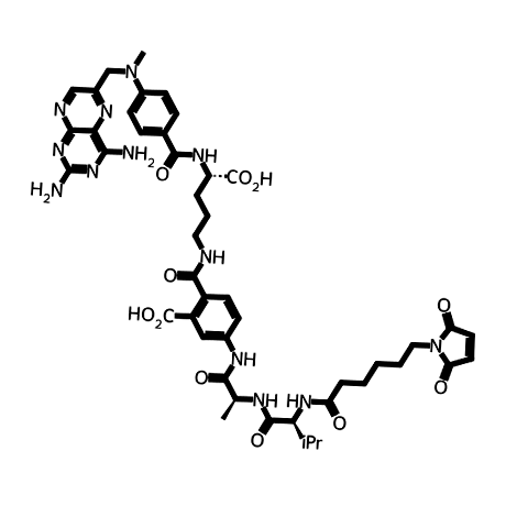 CC(C)[C@H](NC(=O)CCCCCN1C(=O)C=CC1=O)C(=O)N[C@@H](C)C(=O)Nc1ccc(C(=O)NCCC[C@H](NC(=O)c2ccc(N(C)Cc3cnc4nc(N)nc(N)c4n3)cc2)C(=O)O)c(C(=O)O)c1